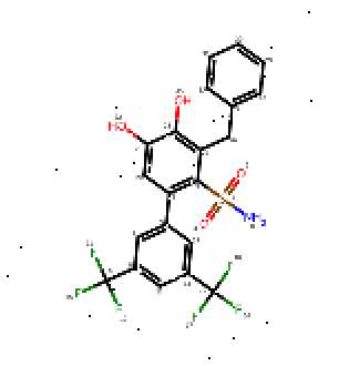 NS(=O)(=O)c1c(-c2cc(C(F)(F)F)cc(C(F)(F)F)c2)cc(O)c(O)c1Cc1ccccc1